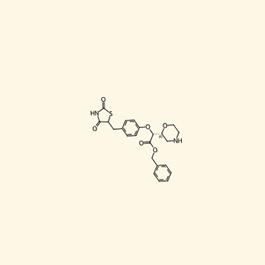 O=C1NC(=O)C(Cc2ccc(OC(C(=O)OCc3ccccc3)[C@H]3CNCCO3)cc2)S1